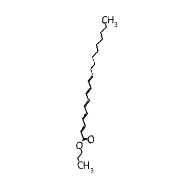 CCCCCCCCC/C=C/C=C/C=C/C=C/C=C/C(=O)OCCC